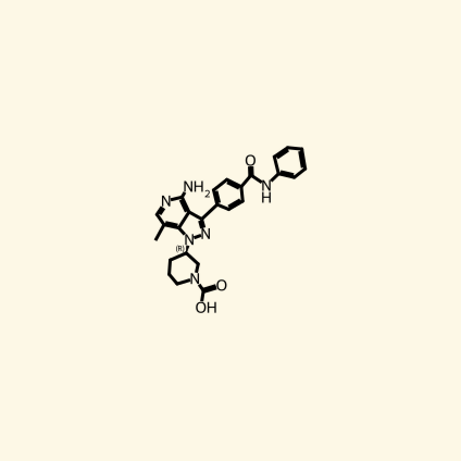 Cc1cnc(N)c2c(-c3ccc(C(=O)Nc4ccccc4)cc3)nn([C@@H]3CCCN(C(=O)O)C3)c12